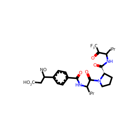 CC(C)C(NC(=O)c1ccc(C(CC(=O)O)N=O)cc1)C(=O)N1CCC[C@H]1C(=O)NC(C(=O)C(F)(F)F)C(C)C